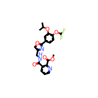 COC(=O)c1ncccc1C(=O)NCc1coc(-c2ccc(OC(F)F)c(OC(C)C)c2)n1